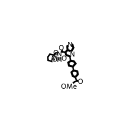 COCC(=O)c1ccc(-c2ccc(-c3nc4ccncc4c(C(=O)NOC4CCCCO4)c3OC)cc2)cc1